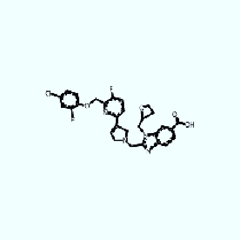 O=C(O)c1ccc2nc(CN3CC=C(c4ccc(F)c(COc5ccc(Cl)cc5F)n4)C3)n(CC3CCO3)c2c1